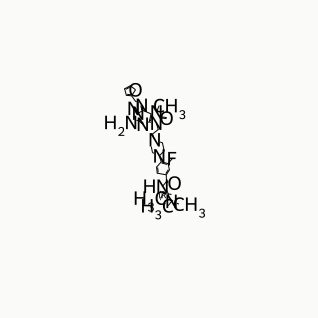 C[C@H](CN(C)C)NC(=O)c1ccc(N2CCN(CCn3c(=O)n(C)c4c3nc(N)n3nc(-c5ccco5)nc43)CC2)c(F)c1